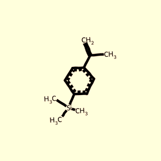 C=C(C)c1ccc([Si](C)(C)C)cc1